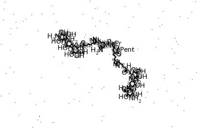 CCCCCC(=O)N(CCCn1cc(CCCC(=O)NCC2OC(OC3C(N)CC(N)C(OC4OC(CO)C(O)C(N)C4O)C3O)C(O)C(O)C2O)nn1)CC(=O)N(CCC)CC(=O)N(CCCn1cc(CCCC(=O)NCC2OC(OC3C(N)CC(N)C(OC4OC(CO)C(O)C(N)C4O)C3O)C(O)C(O)C2O)nn1)CC(N)=O